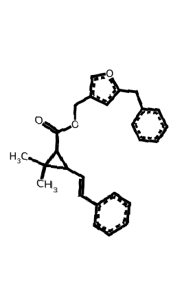 CC1(C)C(C=Cc2ccccc2)C1C(=O)OCc1coc(Cc2ccccc2)c1